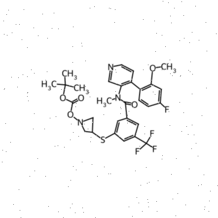 COc1cc(F)ccc1-c1ccncc1N(C)C(=O)c1cc(SC2CN(OC(=O)OC(C)(C)C)C2)cc(C(F)(F)F)c1